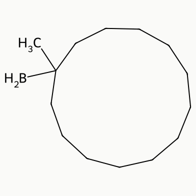 BC1(C)CCCCCCCCCCCC1